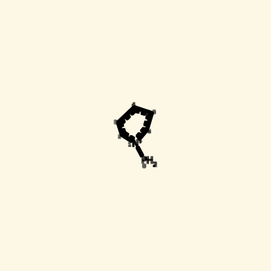 P[n+]1ccccc1